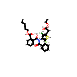 CCCCCOC(=O)C1=C(C(=O)N(C(=O)c2ccccc2)c2c(F)sc(CC(=O)OCC)c2Cl)CCCC1